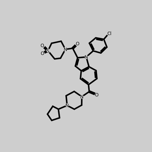 O=C(c1ccc2c(c1)cc(C(=O)N1CCS(=O)(=O)CC1)n2-c1ccc(Cl)cc1)N1CCN(C2CCCC2)CC1